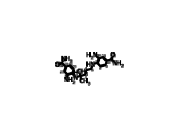 CC(C)(CCCNc1ccc(C(N)=O)cc1N)Nc1ccc(C(N)=O)cc1N